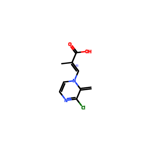 C=C1C(Cl)=NC=CN1/C=C(\C)C(=O)O